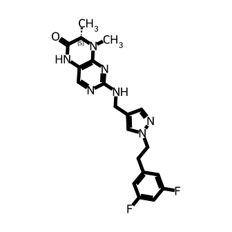 C[C@H]1C(=O)Nc2cnc(NCc3cnn(CCc4cc(F)cc(F)c4)c3)nc2N1C